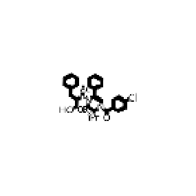 CC(=O)N(C(Cc1ccccc1)C(O)C(F)(F)F)N1C(=O)C(C(C)C)N(C(=O)c2ccc(Cl)cc2)C=C1c1ccccc1